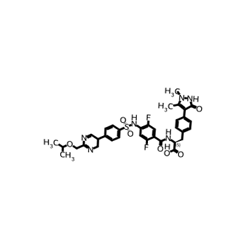 Cc1c(-c2ccc(C[C@H](NC(=O)c3cc(F)c(NS(=O)(=O)c4ccc(C5C=NC(COC(C)C)=NC5)cc4)cc3F)C(=O)O)cc2)c(=O)[nH]n1C